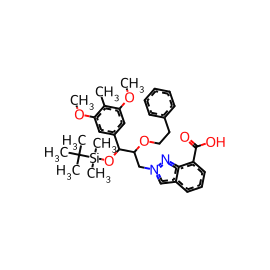 COc1cc(C(O[Si](C)(C)C(C)(C)C)C(Cn2cc3cccc(C(=O)O)c3n2)OCCc2ccccc2)cc(OC)c1C